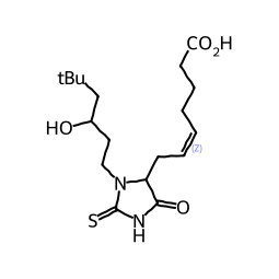 CC(C)(C)CC(O)CCN1C(=S)NC(=O)C1C/C=C\CCCC(=O)O